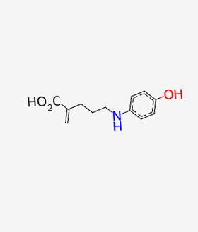 C=C(CCCNc1ccc(O)cc1)C(=O)O